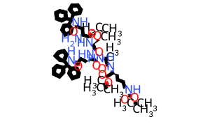 C[C@H](NC(=O)[C@H](CCC(=O)NC(c1ccccc1)(c1ccccc1)c1ccccc1)NC(=O)[C@H](COC(C)(C)C)NC(=O)[C@@H](N)CC(=O)NC(c1ccccc1)(c1ccccc1)c1ccccc1)C(=O)N[C@@H](CCCCNC(=O)OC(C)(C)C)C(=O)OC(C)(C)C